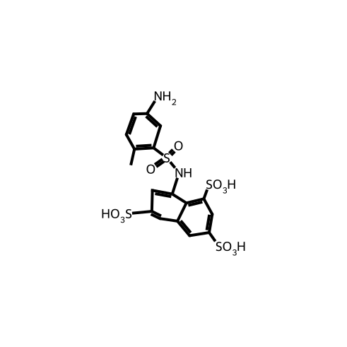 Cc1ccc(N)cc1S(=O)(=O)Nc1cc(S(=O)(=O)O)cc2cc(S(=O)(=O)O)cc(S(=O)(=O)O)c12